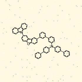 c1ccc(-c2ccc(N(c3ccc(-c4ccccc4)cc3)c3cccc(-c4cccc(-c5ccc6oc7ccc(-n8c9ccccc9c9ccccc98)cc7c6c5)c4)c3)cc2)cc1